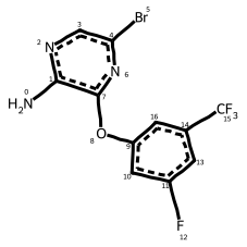 Nc1ncc(Br)nc1Oc1cc(F)cc(C(F)(F)F)c1